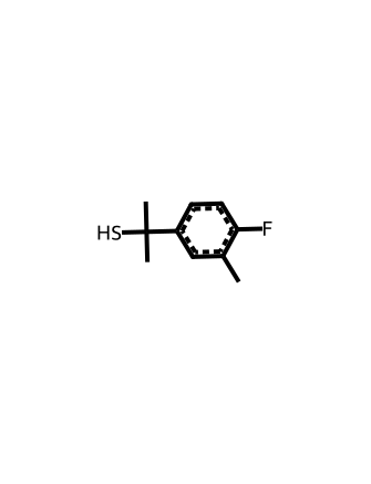 Cc1cc(C(C)(C)S)ccc1F